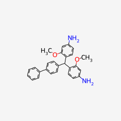 COc1cc(N)ccc1C(c1ccc(-c2ccccc2)cc1)c1ccc(N)cc1OC